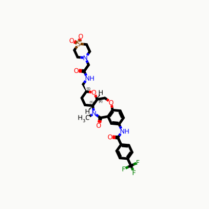 CN1C(=O)c2cc(NC(=O)c3ccc(C(F)(F)F)cc3)ccc2OC[C@@H]2O[C@H](CNC(=O)CN3CCS(=O)(=O)CC3)CC[C@@H]21